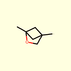 [CH2]C12COC(C)(C1)C2